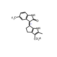 Cc1[nH]c2c(c1C(=O)O)CC/C2=C1/C(=O)Nc2ccc(C(F)(F)F)cc21